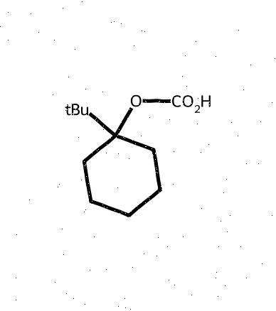 CC(C)(C)C1(OC(=O)O)CCCCC1